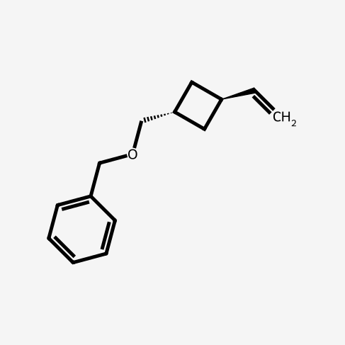 C=C[C@H]1C[C@H](COCc2ccccc2)C1